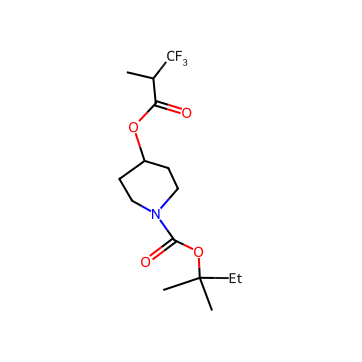 CCC(C)(C)OC(=O)N1CCC(OC(=O)C(C)C(F)(F)F)CC1